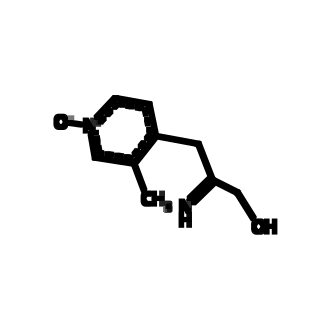 Cc1c[n+]([O-])ccc1CC(=N)CO